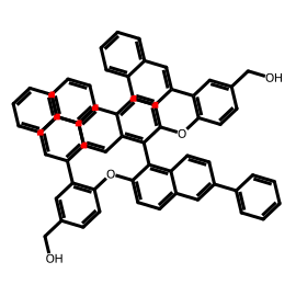 OCc1ccc(Oc2ccc3cc(-c4ccccc4)ccc3c2-c2c(Oc3ccc(CO)cc3-c3ccc4ccccc4c3)ccc3cc(-c4ccccc4)ccc23)c(-c2ccc3ccccc3c2)c1